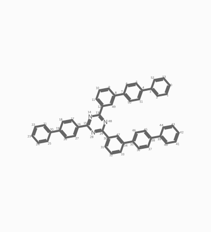 c1ccc(-c2ccc(-c3cccc(-c4nc(-c5ccc(-c6ccccc6)cc5)nc(-c5cccc(-c6ccc(-c7ccccc7)cc6)c5)n4)c3)cc2)cc1